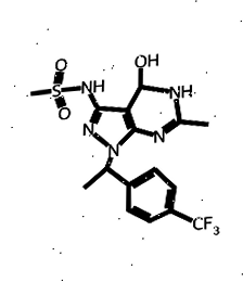 CC1=Nc2c(c(NS(C)(=O)=O)nn2C(C)c2ccc(C(F)(F)F)cc2)C(O)N1